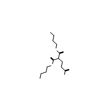 CCCCOC(=O)C(CCC(=O)O)C(=O)OCCCC